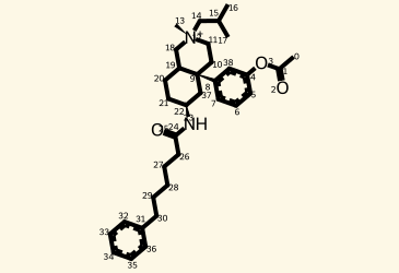 CC(=O)Oc1cccc([C@]23CC[N@@+](C)(CC(C)C)CC2CC[C@H](NC(=O)CCCCCc2ccccc2)C3)c1